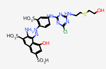 Nc1c(S(=O)(=O)O)cc2cc(S(=O)(=O)O)cc(O)c2c1/N=N/c1ccc(Nc2nc(Cl)nc(NCCSCCO)n2)cc1S(=O)(=O)O